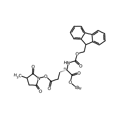 CC1CC(=O)N(OC(=O)CC[C@H](NC(=O)OCC2c3ccccc3-c3ccccc32)C(=O)OC(C)(C)C)C1=O